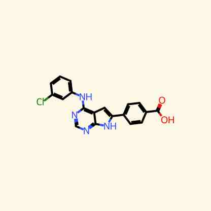 O=C(O)c1ccc(-c2cc3c(Nc4cccc(Cl)c4)ncnc3[nH]2)cc1